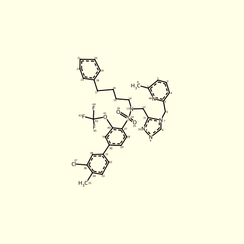 Cc1cccc(Cn2cnnc2CN(CCCCc2ccccc2)S(=O)(=O)c2ccc(-c3ccc(C)c(Cl)c3)cc2OC(F)(F)F)n1